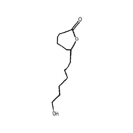 O=C1CCC(CCCCCCO)O1